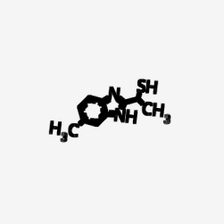 Cc1ccc2nc(C(C)S)[nH]c2c1